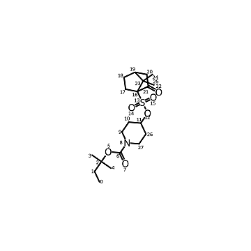 CCC(C)(C)OC(=O)N1CCC(OS(=O)(=O)C23CCC(CC2=O)C3(C)C)CC1